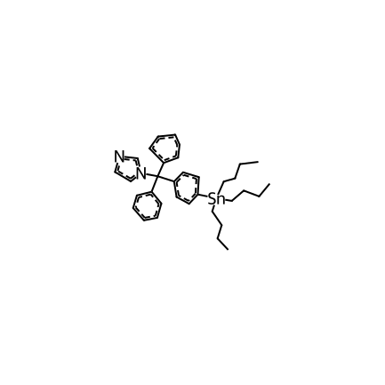 CCC[CH2][Sn]([CH2]CCC)([CH2]CCC)[c]1ccc(C(c2ccccc2)(c2ccccc2)n2ccnc2)cc1